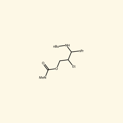 CCCCNC(CCC)C(CC)COC(=O)NC